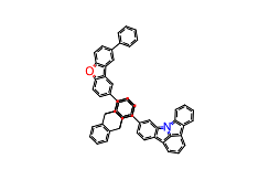 c1ccc(-c2ccc3oc4ccc(-c5ccc(-c6ccc7c8cccc9c%10ccccc%10n(c7c6)c98)c6c5C5c7ccccc7C6c6ccccc65)cc4c3c2)cc1